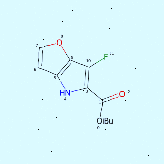 CC(C)COC(=O)c1[nH]c2ccoc2c1F